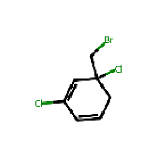 ClC1=CC(Cl)(CBr)CC=C1